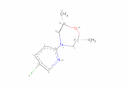 C[C@@H]1CN(c2ccc(F)cn2)C[C@H](C)O1